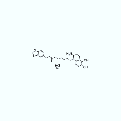 Cl.Cl.NC1CCc2c(ccc(O)c2O)C1CCCCCCNCCc1ccc2c(c1)OCO2